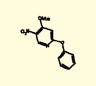 COc1cc(Oc2ccccc2)ncc1[N+](=O)[O-]